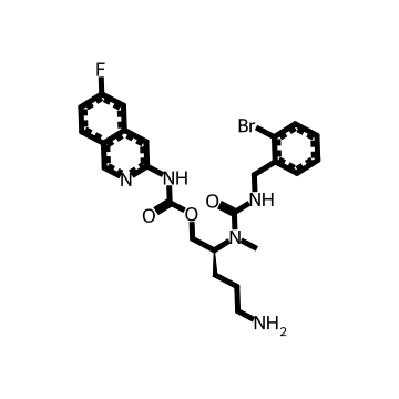 CN(C(=O)NCc1ccccc1Br)[C@@H](CCCN)COC(=O)Nc1cc2cc(F)ccc2cn1